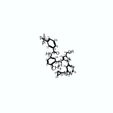 Cc1ccc(NC(=O)c2cccc(C(F)(F)F)c2)cc1Nc1cc(CO)nn1-c1cc(NC2CC2)ncn1